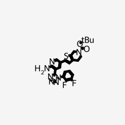 CC(C)(C)OC(=O)N1CCc2cc(-c3cnc(N)c(-c4nnnn4-c4cccc(F)c4F)c3)sc2C1